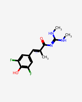 CNC(=NC(=O)/C(C)=C/c1cc(F)c(O)c(F)c1)NC